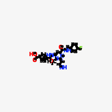 CN1C(NC(=O)C23CCC(C(=O)O)(CC2)CC3)=CC(C(=O)NCc2ccc(F)cc2)=N/C1=C/C=N